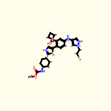 CC(C)OC(=O)N[C@H]1CC[C@H](c2ncc(-c3ccc(Nc4cnn(CCF)c4)cc3P3(=O)CCC3)s2)CC1